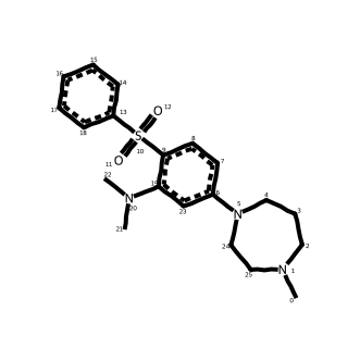 CN1CCCN(c2ccc(S(=O)(=O)c3ccccc3)c(N(C)C)c2)CC1